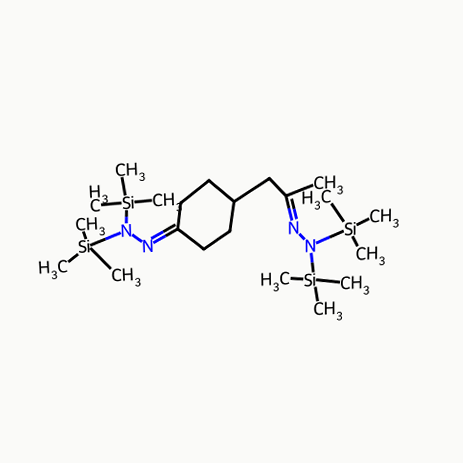 CC(CC1CCC(=NN([Si](C)(C)C)[Si](C)(C)C)CC1)=NN([Si](C)(C)C)[Si](C)(C)C